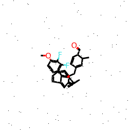 C=C(C)\C=C(C1=C\C(=C)C(CC2=CC(C)C(C=O)C=C2)=C=C/C=C\1)\c1ccc(OC)c(F)c1F